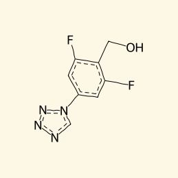 OCc1c(F)cc(-n2cnnn2)cc1F